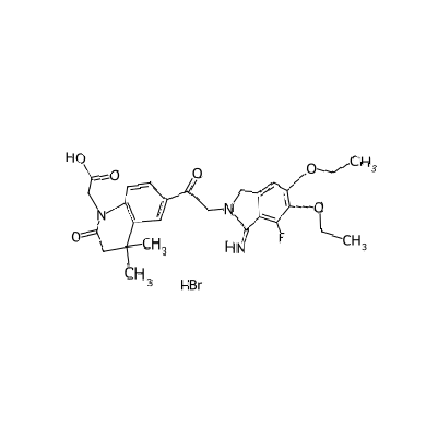 Br.CCOc1cc2c(c(F)c1OCC)C(=N)N(CC(=O)c1ccc3c(c1)C(C)(C)CC(=O)N3CC(=O)O)C2